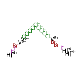 [Br-].[Br-].[Br-].[Cl-].[Cl-].[Cl-].[Cl-].[Cl-].[Cl-].[Cl-].[Cl-].[Cl-].[Hf+4].[Hf+4].[Hf+4].[I-].[I-].[I-].[V+5].[V+5].[V+5]